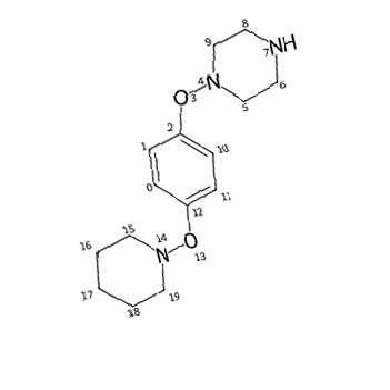 c1cc(ON2CCNCC2)ccc1ON1CCCCC1